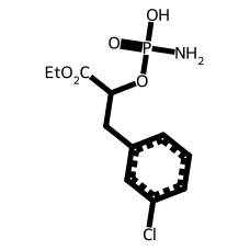 CCOC(=O)C(Cc1cccc(Cl)c1)OP(N)(=O)O